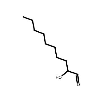 CCCCCCCCC(O)[C]=O